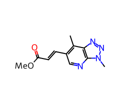 COC(=O)/C=C/c1cnc2c(nnn2C)c1C